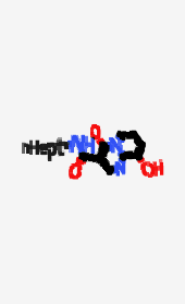 CCCCCCCNC(=O)c1cnc2c(O)cccn2c1=O